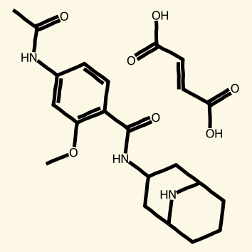 COc1cc(NC(C)=O)ccc1C(=O)NC1CC2CCCC(C1)N2.O=C(O)/C=C/C(=O)O